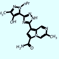 CCCn1nc(C)c(O)c1-c1n[nH]c(-c2cc(C(N)=O)n3cc(C)ncc23)n1